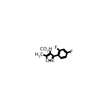 Cc1onc(-c2ccc(F)cc2F)c1C(=O)O